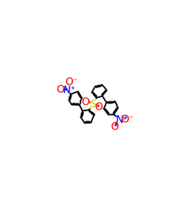 O=[N+]([O-])c1ccc(-c2ccccc2S(=O)(=O)c2ccccc2-c2ccc([N+](=O)[O-])cc2)cc1